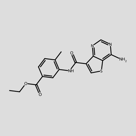 CCOC(=O)c1ccc(C)c(NC(=O)c2csc3c(N)ncnc23)c1